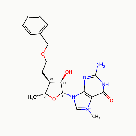 C[C@H]1O[C@@H](n2c[n+](C)c3c(=O)[nH]c(N)nc32)[C@H](O)[C@@H]1CCOCc1ccccc1